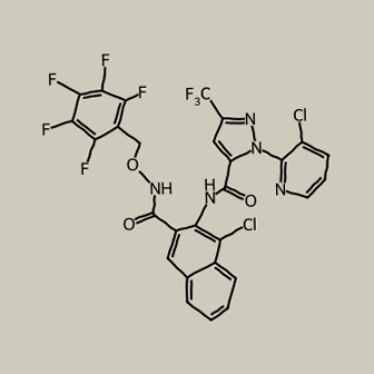 O=C(NOCc1c(F)c(F)c(F)c(F)c1F)c1cc2ccccc2c(Cl)c1NC(=O)c1cc(C(F)(F)F)nn1-c1ncccc1Cl